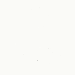 CC(C)c1ccccc1.Cc1ccccc1C.Cc1ccccc1C.Cc1ccccc1C